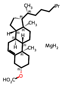 CC(C)CCC[C@@H](C)[C@H]1CC[C@H]2[C@@H]3CC=C4C[C@@H](OC(=O)O)CC[C@]4(C)[C@H]3CC[C@]12C.[MgH2]